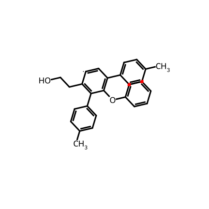 Cc1ccc(-c2c[c]c(CCO)c(-c3ccc(C)cc3)c2Oc2ccccc2)cc1